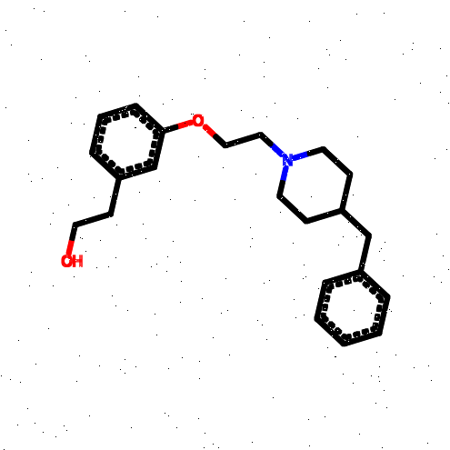 OCCc1cccc(OCCN2CCC(Cc3ccccc3)CC2)c1